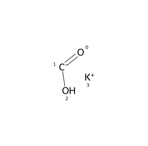 O=[C-]O.[K+]